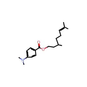 CC(C)=CCCC(C)CCOC(=O)c1ccc(N(C)C)cc1